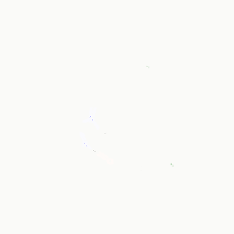 CC1=NC(=O)C(c2ccc([18F])cc2)(c2ccc([18F])cc2)N1